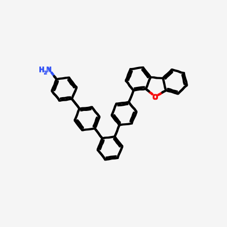 Nc1ccc(-c2ccc(-c3ccccc3-c3ccc(-c4cccc5c4oc4ccccc45)cc3)cc2)cc1